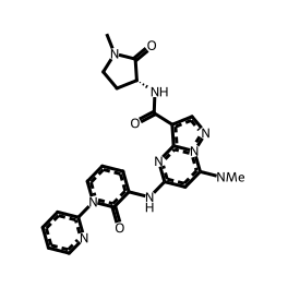 CNc1cc(Nc2cccn(-c3ccccn3)c2=O)nc2c(C(=O)N[C@@H]3CCN(C)C3=O)cnn12